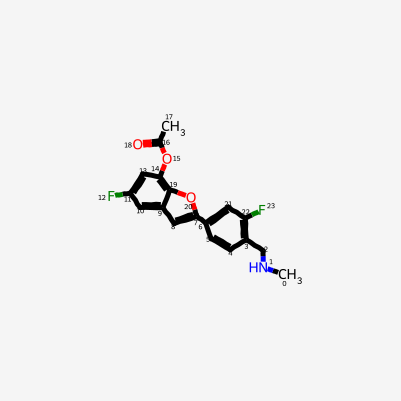 CNCc1ccc(-c2cc3cc(F)cc(OC(C)=O)c3o2)cc1F